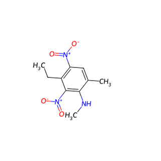 CCc1c([N+](=O)[O-])cc(C)c(NC)c1[N+](=O)[O-]